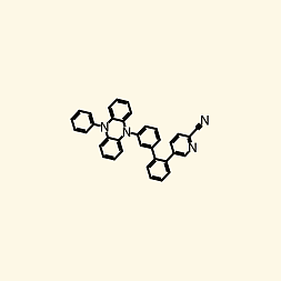 N#Cc1ccc(-c2ccccc2-c2cccc(N3c4ccccc4N(c4ccccc4)c4ccccc43)c2)cn1